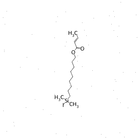 CC=CC(=O)OCCCCCCCCC[Si](C)(C)I